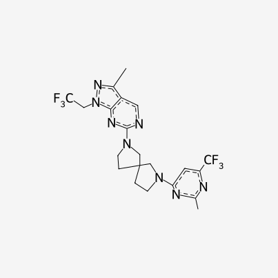 Cc1nc(N2CCC3(CCN(c4ncc5c(C)nn(CC(F)(F)F)c5n4)C3)C2)cc(C(F)(F)F)n1